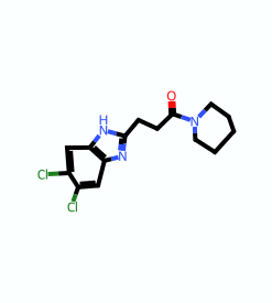 O=C(CCc1nc2cc(Cl)c(Cl)cc2[nH]1)N1CCCCC1